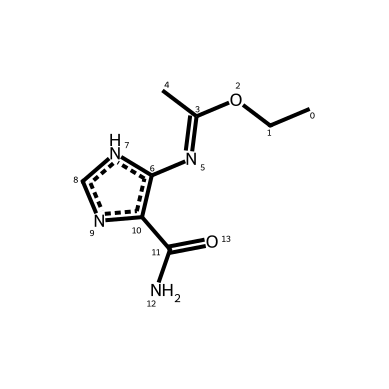 CCO/C(C)=N/c1[nH]cnc1C(N)=O